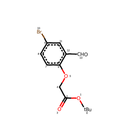 CC(C)(C)OC(=O)COc1ccc(Br)cc1C=O